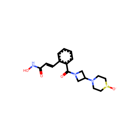 O=C(/C=C/c1ccccc1C(=O)N1CC(N2CC[S+]([O-])CC2)C1)NO